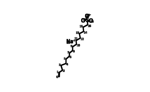 C=CCCCCCCCCCCCCCCCS(=O)(=O)[O-].[Na+]